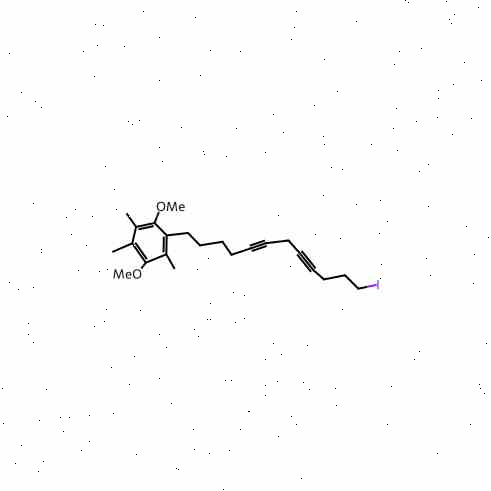 COc1c(C)c(C)c(OC)c(CCCCC#CCC#CCCCI)c1C